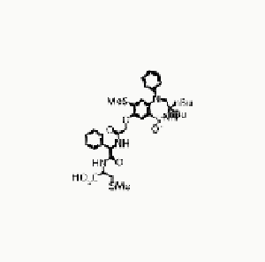 CCCCC1(CCCC)CN(c2ccccc2)c2cc(SC)c(OCC(=O)NC(C(=O)NC(CSC)C(=O)O)c3ccccc3)cc2[S+]([O-])N1